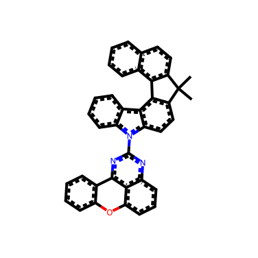 CC1(C)c2ccc3ccccc3c2-c2c1ccc1c2c2ccccc2n1-c1nc2c3c(cccc3n1)Oc1ccccc1-2